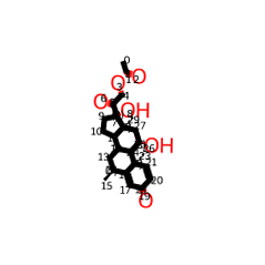 CC(=O)OCC(=O)[C@@]1(O)CCC2C3C[C@H](C)C4=CC(=O)C=C[C@]4(C)C3[C@@H](O)C[C@@]21C